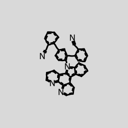 N#Cc1ccccc1-c1ccc(-n2c3ccccc3c3c4cccnc4c4ncccc4c32)c(-c2ccccc2C#N)c1